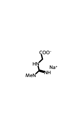 CNC(=N)NCC(=O)[O-].[Na+]